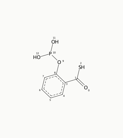 O=C(S)c1ccccc1OP(O)O